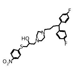 O=[N+]([O-])c1ccc(SCC(O)CN2CCN(CCCC(c3ccc(F)cc3)c3ccc(F)cc3)CC2)cc1